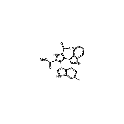 COC(=O)c1[nH]c(C(=O)OC)c(-c2c[nH]c3cc(F)ccc23)c1-c1c[nH]c2ccccc12